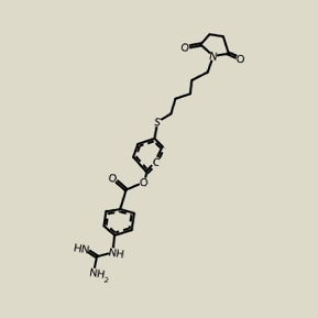 N=C(N)Nc1ccc(C(=O)Oc2ccc(SCCCCCN3C(=O)CCC3=O)cc2)cc1